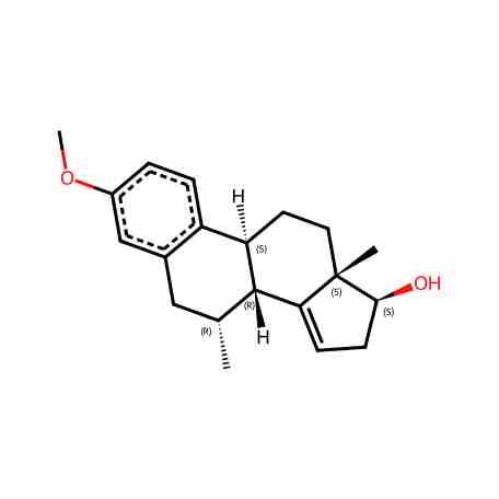 COc1ccc2c(c1)C[C@@H](C)[C@H]1C3=CC[C@H](O)[C@@]3(C)CC[C@H]21